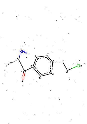 C[C@H](N)C(=O)c1ccc(CCCl)cc1